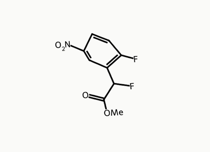 COC(=O)C(F)c1cc([N+](=O)[O-])ccc1F